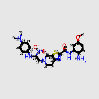 COc1ccc(N)c(NC(=O)c2nc3c(s2)CN(C=C(Nc2ccc(N(C)C)cc2)[N+](=O)[O-])CC3)c1